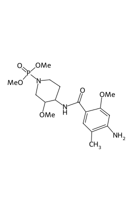 COc1cc(N)c(C)cc1C(=O)NC1CCN(P(=O)(OC)OC)CC1OC